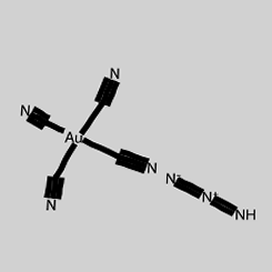 N#[C][Au]([C]#N)([C]#N)[C]#N.[N-]=[N+]=N